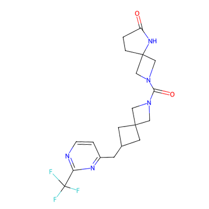 O=C1CCC2(CN(C(=O)N3CC4(CC(Cc5ccnc(C(F)(F)F)n5)C4)C3)C2)N1